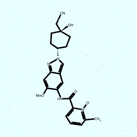 COc1cc2nn([C@H]3CC[C@@](O)(CC#N)CC3)cc2cc1NC(=O)c1cccc(C)[n+]1[O-]